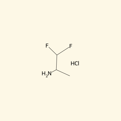 CC(N)C(F)F.Cl